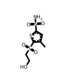 Cc1cc(S(N)(=O)=O)sc1S(=O)(=O)CCO